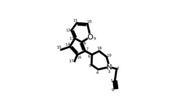 C#CCN1CCC(c2c3occcc-3c(C)c2C)CC1